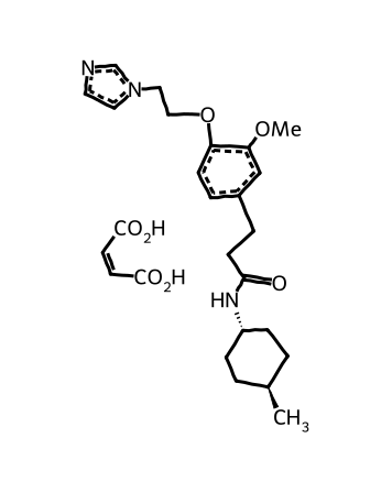 COc1cc(CCC(=O)N[C@H]2CC[C@H](C)CC2)ccc1OCCn1ccnc1.O=C(O)/C=C\C(=O)O